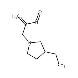 C=C(CN1CCC(CC)C1)N=O